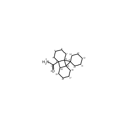 NC(=O)C12CCCCC13C1(CCCCC1)C31CCCCC21